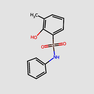 Cc1cccc(S(=O)(=O)Nc2ccccc2)c1O